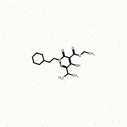 CCOC(=O)c1c(O)c(C(C)C)nn(CCC2CCCCC2)c1=O